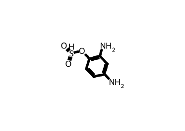 Nc1ccc(O[SH](=O)=O)c(N)c1